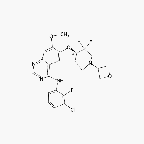 COc1cc2ncnc(Nc3cccc(Cl)c3F)c2cc1O[C@@H]1CCN(C2COC2)CC1(F)F